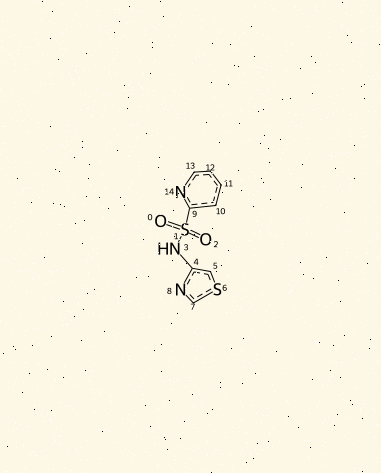 O=S(=O)(Nc1cscn1)c1ccccn1